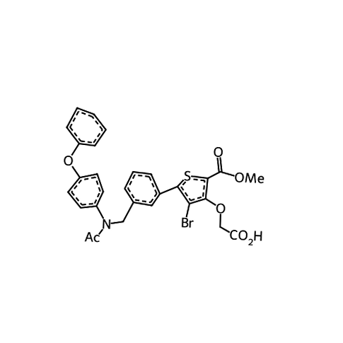 COC(=O)c1sc(-c2cccc(CN(C(C)=O)c3ccc(Oc4ccccc4)cc3)c2)c(Br)c1OCC(=O)O